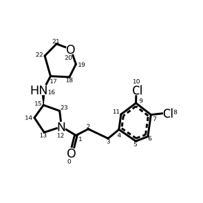 O=C(CCc1ccc(Cl)c(Cl)c1)N1CC[C@@H](NC2CCOCC2)C1